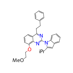 COCCOc1cccc2c(CCc3ccccc3)nc(-n3c(C(C)C)cc4ccccc43)nc12